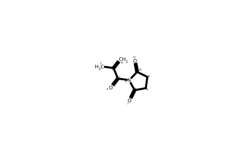 C=C(C)C(=O)N1C(=O)CCC1=O